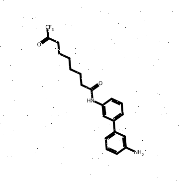 Nc1cccc(-c2cccc(NC(=O)CCCCCCC(=O)C(F)(F)F)c2)c1